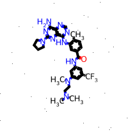 Cc1ccc(C(=O)Nc2cc(N(C)CCN(C)C)cc(C(F)(F)F)c2)cc1Nc1ncnc2c(N)nc(N3CCCC3)nc12